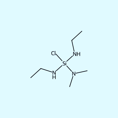 CCN[Si](Cl)(NCC)N(C)C